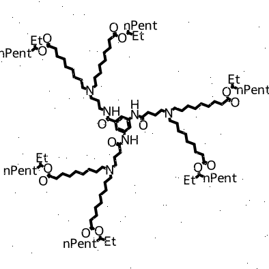 CCCCCC(CC)OC(=O)CCCCCCCCN(CCCCCCCCC(=O)OC(CC)CCCCC)CCCNC(=O)c1cc(NC(=O)CCCN(CCCCCCCCC(=O)OC(CC)CCCCC)CCCCCCCCC(=O)OC(CC)CCCCC)cc(NC(=O)CCCN(CCCCCCCCC(=O)OC(CC)CCCCC)CCCCCCCCC(=O)OC(CC)CCCCC)c1